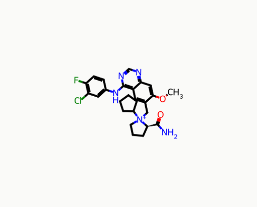 COc1cc2ncnc(Nc3ccc(F)c(Cl)c3)c2cc1C[N+]1(C2CCCC2)CCC[C@@H]1C(N)=O